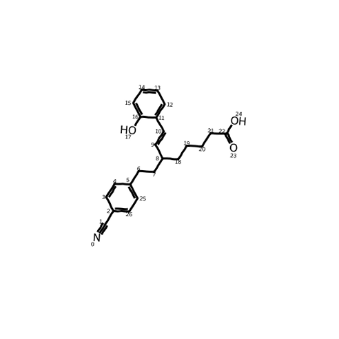 N#Cc1ccc(CCC(C=Cc2ccccc2O)CCCCC(=O)O)cc1